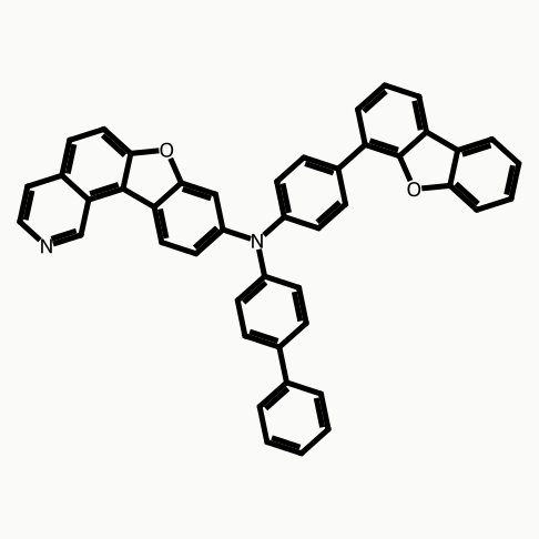 c1ccc(-c2ccc(N(c3ccc(-c4cccc5c4oc4ccccc45)cc3)c3ccc4c(c3)oc3ccc5ccncc5c34)cc2)cc1